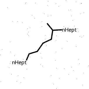 [CH2]CCCCCCC(C)CCCCCCCCCCC